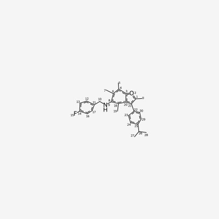 Cc1oc2c(C)c(C)c(NCc3ccc(F)cc3)c(C)c2c1-c1ccc(C(C)C)cc1